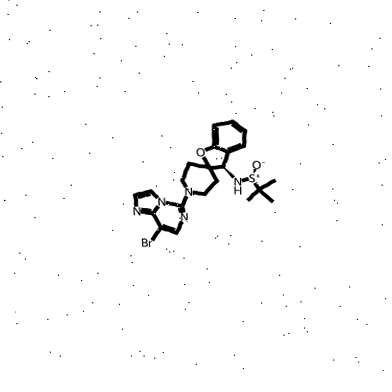 CC(C)(C)[S@@+]([O-])N[C@@H]1c2ccccc2OC12CCN(c1ncc(Br)c3nccn13)CC2